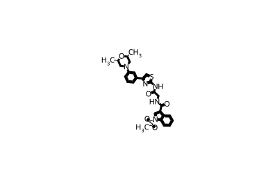 C[C@@H]1CN(c2cccc(-c3csc(NC(=O)CNC(=O)c4cn(S(C)(=O)=O)c5ccccc45)n3)c2)C[C@H](C)O1